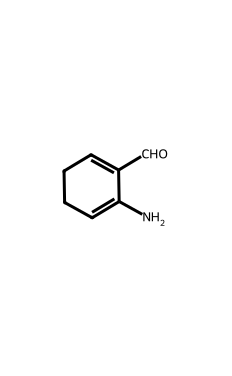 NC1=CCCC=C1C=O